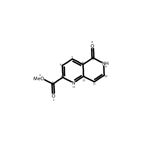 COC(=O)c1ccc2c(=O)[nH]ccc2n1